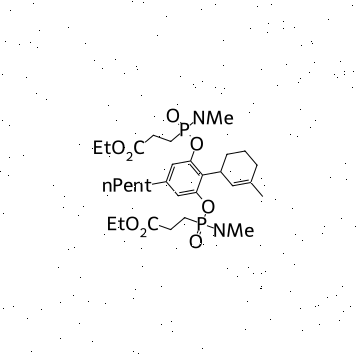 CCCCCc1cc(OP(=O)(CCC(=O)OCC)NC)c(C2C=C(C)CCC2)c(OP(=O)(CCC(=O)OCC)NC)c1